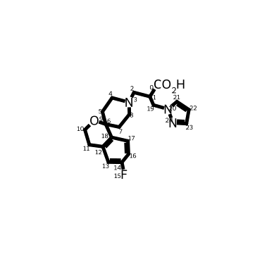 O=C(O)C(CN1CCC2(CC1)OCCc1cc(F)ccc12)Cn1cccn1